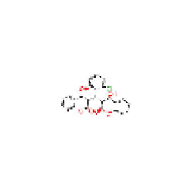 O=C1Oc2ccccc2C(O)C1C(c1ccccc1Cl)C1C(=O)Oc2ccccc2C1O